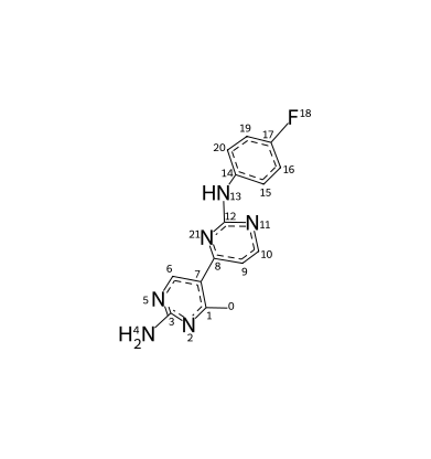 Cc1nc(N)ncc1-c1ccnc(Nc2ccc(F)cc2)n1